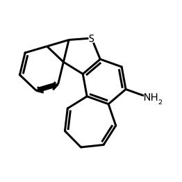 Nc1cc2c(c3c1C=CCC=C3)C13c4ccccc4C=CC1C3S2